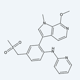 COc1nccc2c(-c3cc(CS(C)(=O)=O)ccc3Nc3ccccn3)cn(C)c12